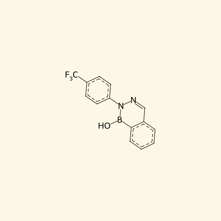 OB1c2ccccc2C=NN1c1ccc(C(F)(F)F)cc1